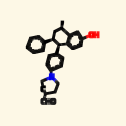 C[C@@H]1C[C@H](c2ccccc2)[C@H](c2ccc(N3CCC(C=O)CC3)cc2)c2ccc(O)cc21